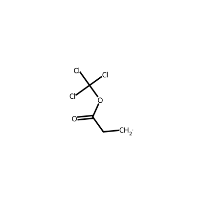 [CH2]CC(=O)OC(Cl)(Cl)Cl